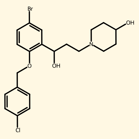 OC1CCN(CCC(O)c2cc(Br)ccc2OCc2ccc(Cl)cc2)CC1